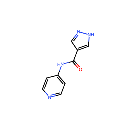 O=C(Nc1ccncc1)c1cn[nH]c1